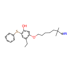 CCc1cc(Sc2ccccc2)c(O)cc1OCCCCCC(C)(C)C#N